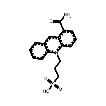 NC(=O)c1cccc2c1cc1ccccc1[n+]2CCCS(=O)(=O)O